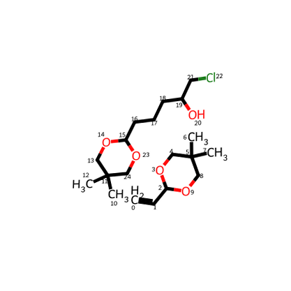 C=CC1OCC(C)(C)CO1.CC1(C)COC(CCCC(O)CCl)OC1